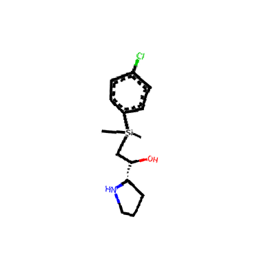 C[Si](C)(CC(O)[C@@H]1CCCN1)c1ccc(Cl)cc1